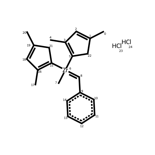 CC1=CC(C)=[C]([Zr]([CH3])(=[CH]c2ccccc2)[C]2=C(C)C=C(C)C2)C1.Cl.Cl